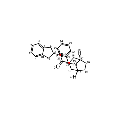 O=C(NC1Cc2ccccc2C1)[C@@H]1C[C@H]2CC[C@@H](C1)N2Cc1ccccc1